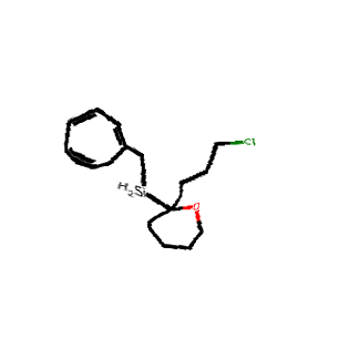 ClCCCC1([SiH2]Cc2ccccc2)CCCCO1